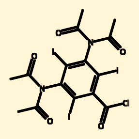 CC(=O)N(C(C)=O)c1c(I)c(C(=O)Cl)c(I)c(N(C(C)=O)C(C)=O)c1I